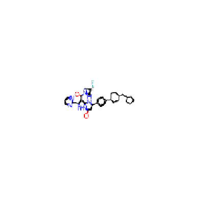 C[C@H]1[C@@H](CF)CN1C(=O)c1c(-c2ncccn2)nn2c(=O)cc(-c3ccc(C4CCC(CC5CCCC5)CC4)cc3)[nH]c12